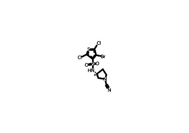 N#CN1CC[C@@H](NS(=O)(=O)c2c(Cl)sc(Cl)c2Br)C1